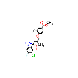 COC(=O)c1ccc(OCC(C)CC(N)(O)c2ccc(F)c(Cl)c2)c(C)c1